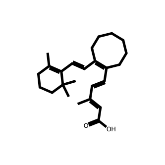 CC(C=CC1=C(C=CC2=C(C)CCCC2(C)C)CCCCCC1)=CC(=O)O